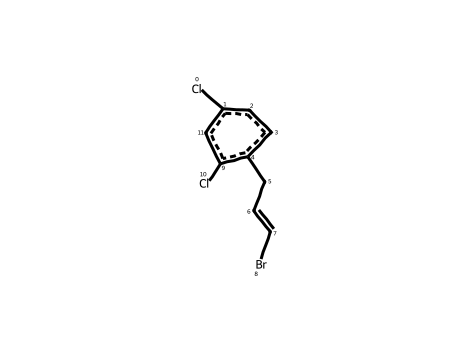 Clc1ccc(CC=CBr)c(Cl)c1